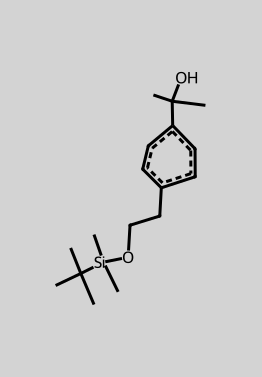 CC(C)(O)c1ccc(CCO[Si](C)(C)C(C)(C)C)cc1